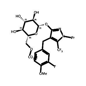 CCOC(=O)OC[C@H]1O[C@@H](Oc2nn(C(C)C)c(C(F)(F)F)c2Cc2ccc(OC)c(F)c2)[C@H](O)[C@@H](O)[C@@H]1O